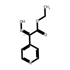 CCOC(=O)/C(=N\O)c1ccncc1